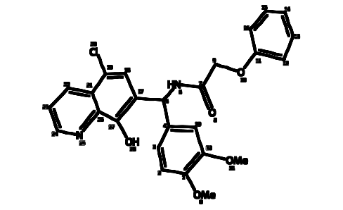 COc1ccc(C(NC(=O)COc2ccccc2)c2cc(Cl)c3cccnc3c2O)cc1OC